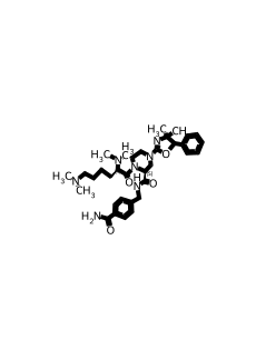 CN(C)CCCC[C@H](C(=O)N1CCN(C2=NC(C)(C)C(c3ccccc3)O2)C[C@H]1C(=O)NCc1ccc(C(N)=O)cc1)N(C)C